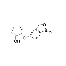 OB1OCc2cc(Oc3ccccc3O)ccc21